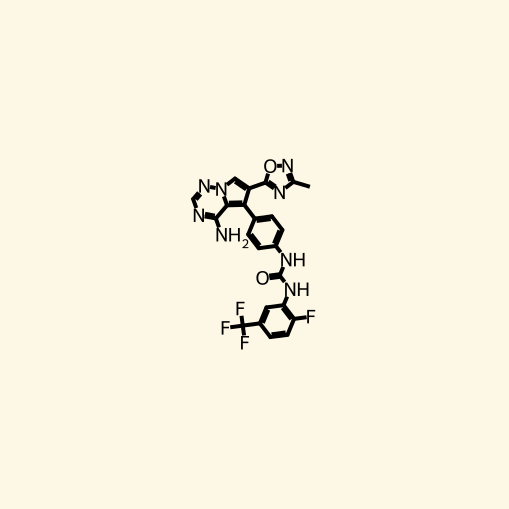 Cc1noc(-c2cn3ncnc(N)c3c2-c2ccc(NC(=O)Nc3cc(C(F)(F)F)ccc3F)cc2)n1